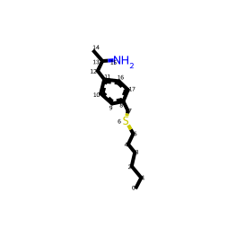 CCCCCCSCc1ccc(CC(C)N)cc1